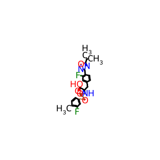 Cc1ccc(S(=O)(=O)NC(Cc2ccc(-c3noc(C(C)C)n3)c(F)c2)C(=O)O)cc1F